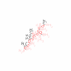 BC(B)OC(C)OC(B)OC(C)OC(B)OC(OC(C)C)OC(B)OC(OC(B)B)OC(B)OC(B)OC(B)C